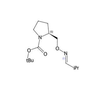 CC(C)/C=N/OC[C@@H]1CCCN1C(=O)OC(C)(C)C